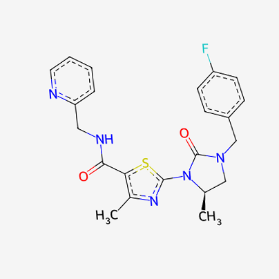 Cc1nc(N2C(=O)N(Cc3ccc(F)cc3)C[C@H]2C)sc1C(=O)NCc1ccccn1